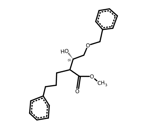 COC(=O)C(CCCc1ccccc1)[C@H](O)COCc1ccccc1